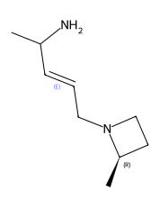 CC(N)/C=C/CN1CC[C@H]1C